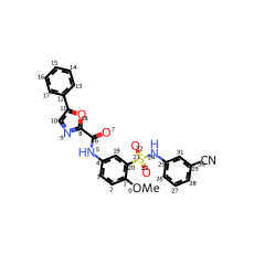 COc1ccc(NC(=O)c2ncc(-c3ccccc3)o2)cc1S(=O)(=O)Nc1cccc(C#N)c1